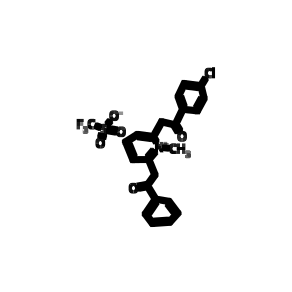 C[n+]1c(CC(=O)c2ccccc2)cccc1CC(=O)c1ccc(Cl)cc1.O=S(=O)([O-])C(F)(F)F